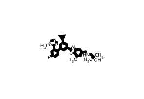 Cn1cnnc1-c1cc(F)ccc1-c1cc(-c2nc3cc(CNCC(C)(C)O)cc(C(F)(F)F)c3o2)cc(C2CC2)c1